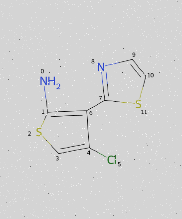 Nc1scc(Cl)c1-c1nccs1